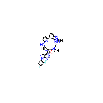 CN1CCNc2c3c(cccc3nn2C)-c2cccc(n2)N[C@H]2C[C@@H](C1=O)N(c1ncnc3c1cnn3-c1ccc(F)cc1F)C2